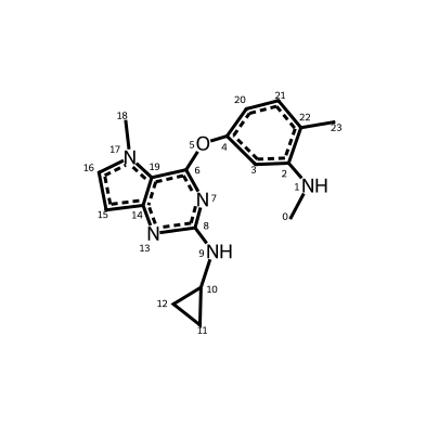 CNc1cc(Oc2nc(NC3CC3)nc3ccn(C)c23)ccc1C